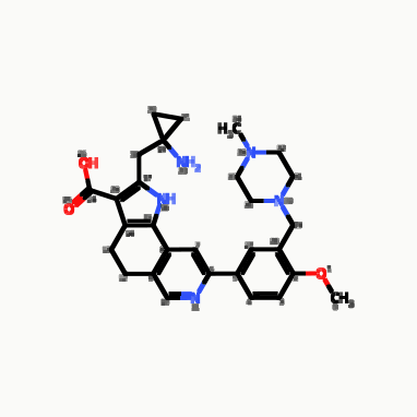 COc1ccc(-c2cc3c(cn2)CCc2c-3[nH]c(CC3(N)CC3)c2C(=O)O)cc1CN1CCN(C)CC1